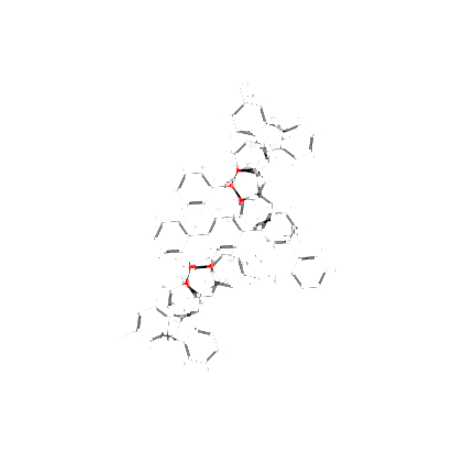 Cc1ccc2c(c1)c1ccccc1n2-c1ccc(-c2c(C#N)c(-c3cccc(-c4ccccc4)n3)c(-c3ccc(-n4c5ccccc5c5cc(C)ccc54)cc3)c(-c3ccccc3-n3c4ccc(C#N)cc4c4cc(C#N)ccc43)c2-c2ccccc2-n2c3ccc(C#N)cc3c3cc(C#N)ccc32)cc1